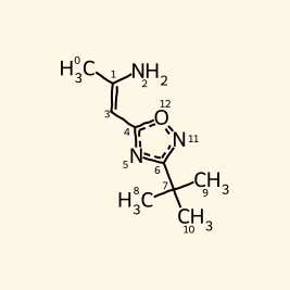 CC(N)=Cc1nc(C(C)(C)C)no1